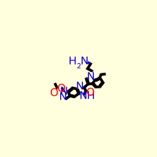 CCc1cccc2c(-c3nc4cc5c(cnn5OC(C)=O)cc4[nH]c3=O)cn(CCCN)c12